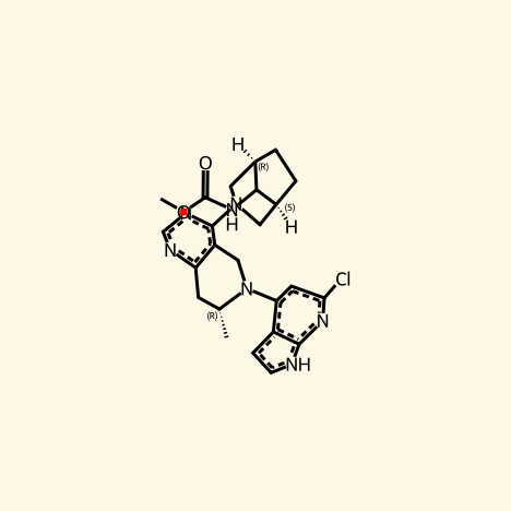 COC(=O)NC1[C@@H]2CC[C@H]1CN(c1ncnc3c1CN(c1cc(Cl)nc4[nH]ccc14)[C@H](C)C3)C2